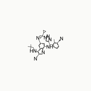 Cc1c(C#N)cccc1[C@H](Nc1cc(C#N)cc2c(NCC(C)(C)C)c(C#N)cnc12)c1cn(C2(C3CC3)CC2)nn1